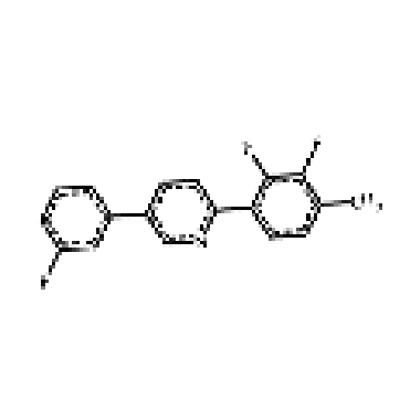 Cc1ccc(-c2ccc(-c3cccc(F)c3)cn2)c(F)c1F